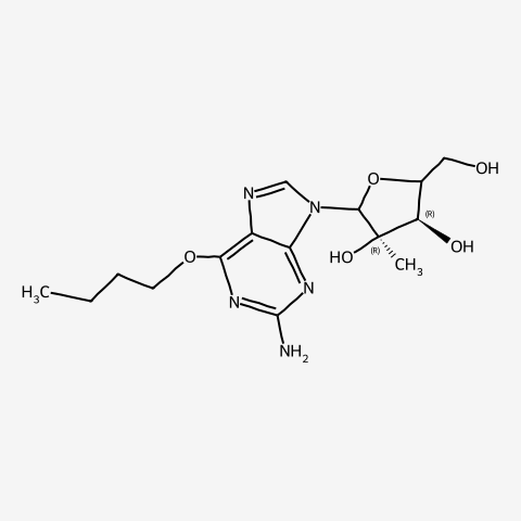 CCCCOc1nc(N)nc2c1ncn2C1OC(CO)[C@@H](O)[C@@]1(C)O